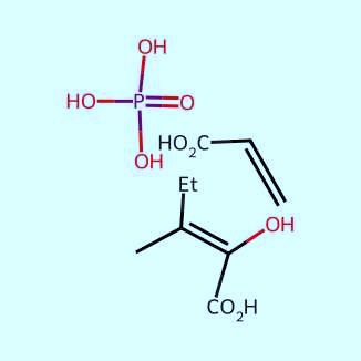 C=CC(=O)O.CCC(C)=C(O)C(=O)O.O=P(O)(O)O